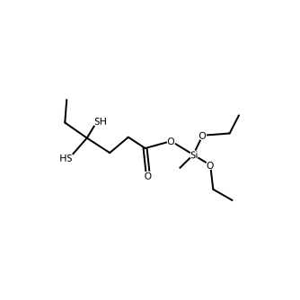 CCO[Si](C)(OCC)OC(=O)CCC(S)(S)CC